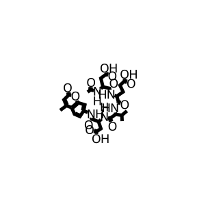 CC(=O)NC(CC(=O)O)C(=O)NC(CCC(=O)O)C(=O)NC(C(=O)NC(CC(=O)O)C(=O)Nc1ccc2c(C)cc(=O)oc2c1)C(C)C